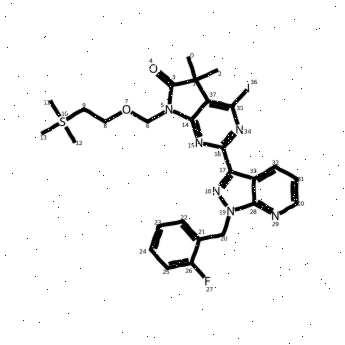 CC1(C)C(=O)N(COCCS(C)(C)C)c2nc(-c3nn(Cc4ccccc4F)c4ncccc34)nc(I)c21